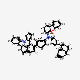 c1ccc(-c2ccccc2-n2c3ccccc3c3ccccc32)c(-c2ccc(N(c3ccc(-c4cccc5ccccc45)cc3)c3cccc4c3oc3ccccc34)cc2)c1